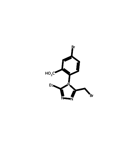 CCc1nnc(CBr)n1-c1ccc(Br)cc1C(=O)O